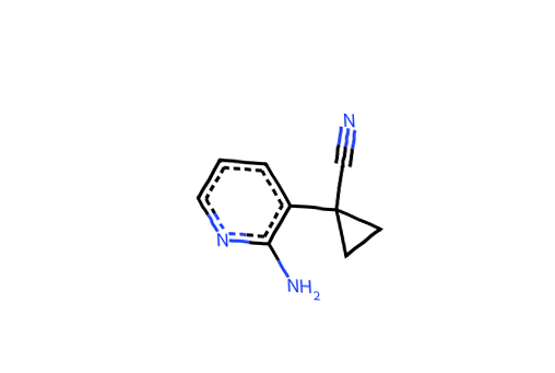 N#CC1(c2cccnc2N)CC1